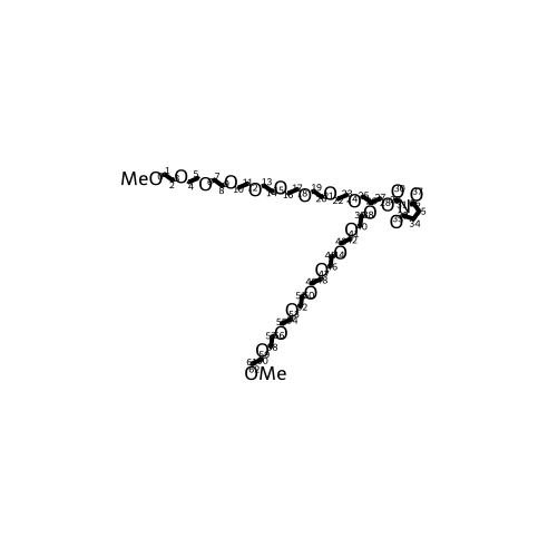 COCCOCCOCCOCCOCCOCCOCCOCCOCC(COC(=O)N1C(=O)CCC1=O)OCCOCCOCCOCCOCCOCCOCCOCCOC